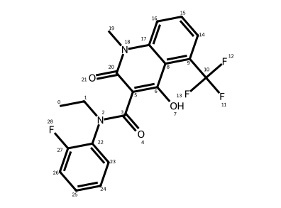 CCN(C(=O)c1c(O)c2c(C(F)(F)F)cccc2n(C)c1=O)c1ccccc1F